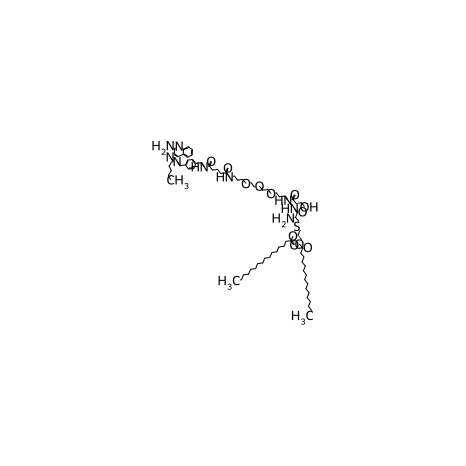 CCCCCCCCCCCCCCCC(=O)OC[C@H](CSC[C@H](N)C(=O)N[C@H](CO)C(=O)NCCCOCCOCCOCCCNC(=O)CCCC(=O)NCc1ccc(Cn2c(CCCC)nc3c(N)nc4ccccc4c32)cc1)OC(=O)CCCCCCCCCCCCCCC